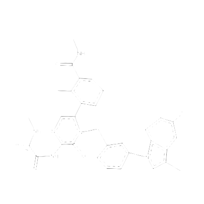 C=C(Nc1ncc(-c2cccc(C(=O)NC)c2C)n(Cc2cccc(-n3cc(C)c4cc(F)ccc43)c2)c1=O)[C@H](C)NC